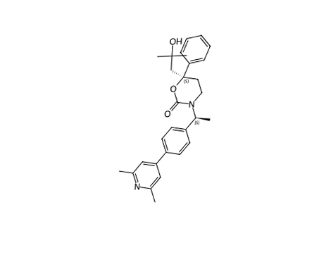 Cc1cc(-c2ccc([C@H](C)N3CC[C@](CC(C)(C)O)(c4ccccc4)OC3=O)cc2)cc(C)n1